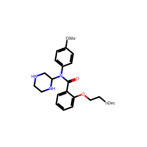 CCCCCCCCCCCCOc1ccccc1C(=O)N(c1ccc(OC)cc1)C1CNCCN1